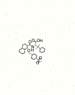 CC(C)(c1ccccc1)[C@H](NC(=O)c1ccc2ccccc2c1OCc1ccc(S(C)(=O)=O)cc1)C(=O)O